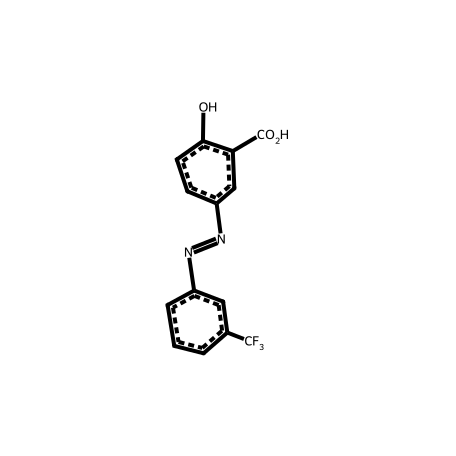 O=C(O)c1cc(N=Nc2cccc(C(F)(F)F)c2)ccc1O